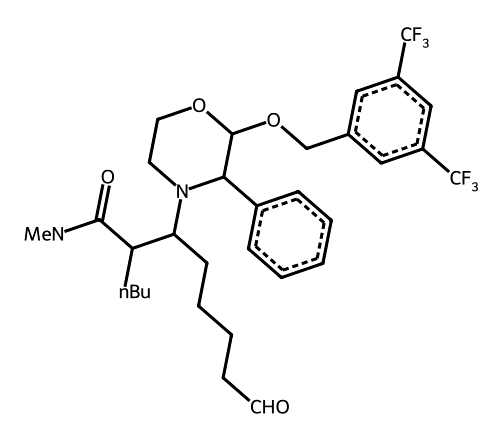 CCCCC(C(=O)NC)C(CCCCC=O)N1CCOC(OCc2cc(C(F)(F)F)cc(C(F)(F)F)c2)C1c1ccccc1